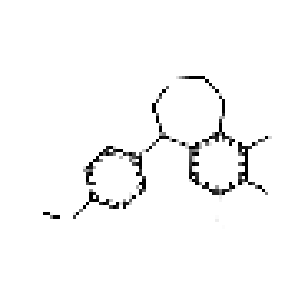 CSc1ccc(C2CNCCc3c2cc(O)c(O)c3Cl)cc1